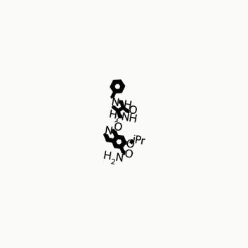 CC(C)Oc1cc2c(OC[C@H]3NC(=O)[C@@H]4CN(Cc5ccccc5)C[C@@H]34)nccc2cc1C(N)=O